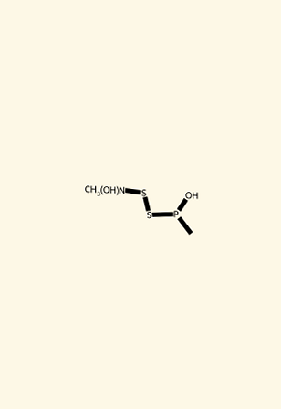 CN(O)SSP(C)O